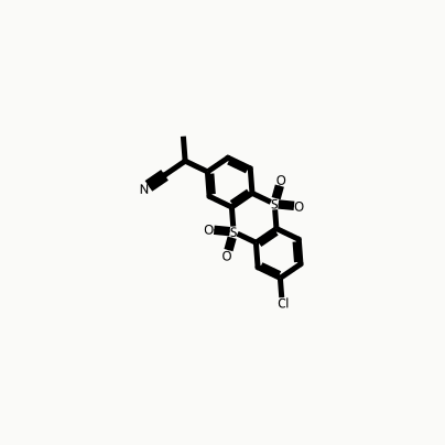 CC(C#N)c1ccc2c(c1)S(=O)(=O)c1cc(Cl)ccc1S2(=O)=O